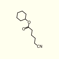 N#CCCCCC(=O)OC1CCCCC1